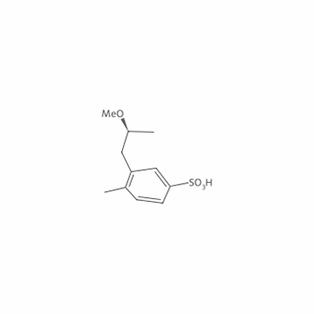 CO[C@@H](C)Cc1cc(S(=O)(=O)O)ccc1C